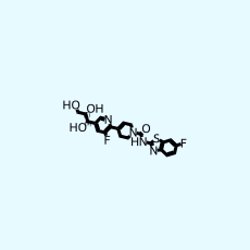 O=C(Nc1nc2ccc(F)cc2s1)N1CC=C(c2ncc([C@H](O)[C@@H](O)CO)cc2F)CC1